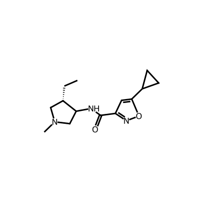 CC[C@H]1CN(C)CC1NC(=O)c1cc(C2CC2)on1